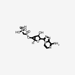 Nc1nccn2c(C3O[C@@H]4C(O[PH](=O)C[PH](O)(O)O)C4[C@H]3O)nnc12